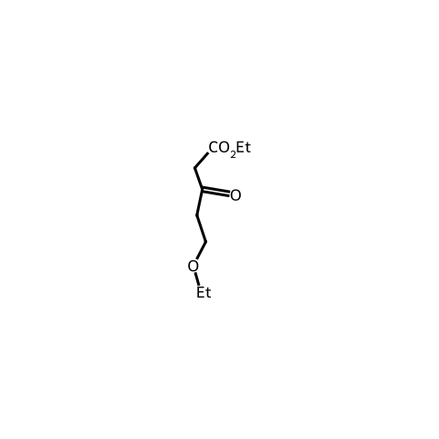 CCOCCC(=O)CC(=O)OCC